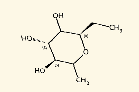 CC[C@H]1OC(C)[C@@H](O)[C@H](O)C1O